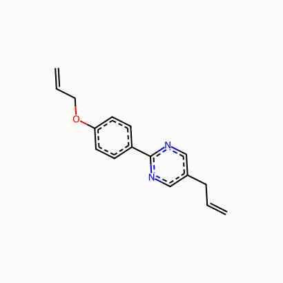 C=CCOc1ccc(-c2ncc(CC=C)cn2)cc1